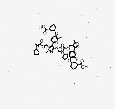 Cc1nc(-c2c(NCN(C(=O)OCc3c(C)noc3-c3ccc(O[C@H]4CCC[C@H](C(=O)O)C4)c(F)c3)C3CCCC3)nn(C)c2COC(=O)N(C)C2CCCC2)ccc1O[C@H]1CCC[C@H](C(=O)O)C1